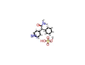 CN(C)C(=O)C(c1ccccc1)c1ccccc1.COS(=O)(=O)O.N